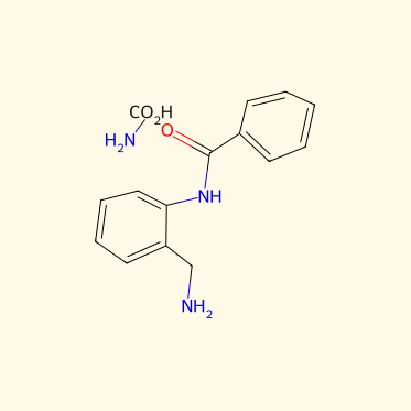 NC(=O)O.NCc1ccccc1NC(=O)c1ccccc1